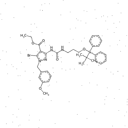 CCOC(=O)c1c(NC(=O)NCCCO[Si](c2ccccc2)(c2ccccc2)C(C)(C)C)nn(Cc2cccc(OC)c2)c1Br